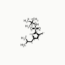 CC(C)Cc1cc(I)c(S(=O)(=O)NC(C)(C)C)s1